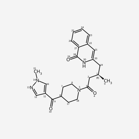 C[C@@H](CC(=O)N1CCC(C(=O)c2cnn(C)c2)CC1)Cc1cc2ccccc2c(=O)[nH]1